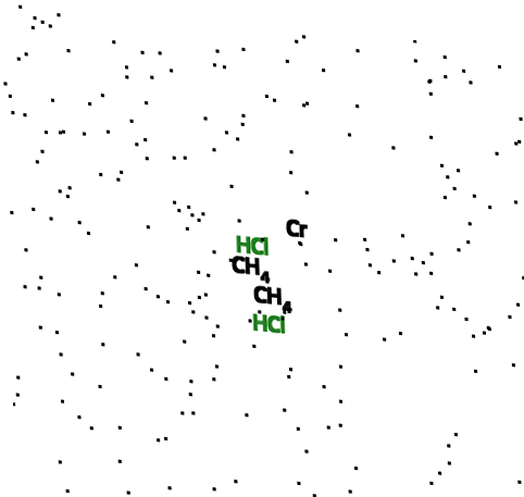 C.C.Cl.Cl.[Cr]